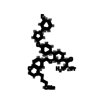 COCCCN1CCOc2ccc(CO[C@H]3CN(C(=O)[C@@H](N)C(C)C)C[CH][C@@H]3c3ccc(O[C@H]4CCN(c5cccc(F)c5)C4)cc3)cc21